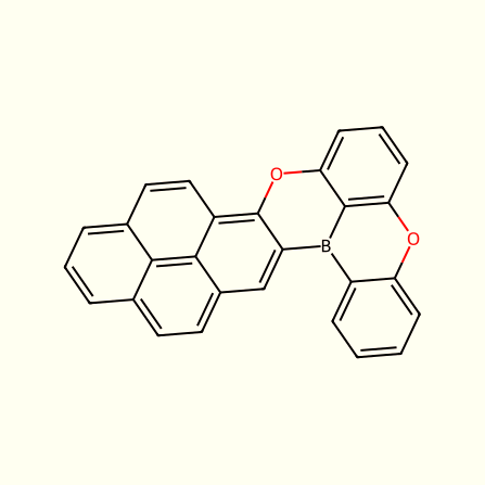 c1ccc2c(c1)Oc1cccc3c1B2c1cc2ccc4cccc5ccc(c1O3)c2c45